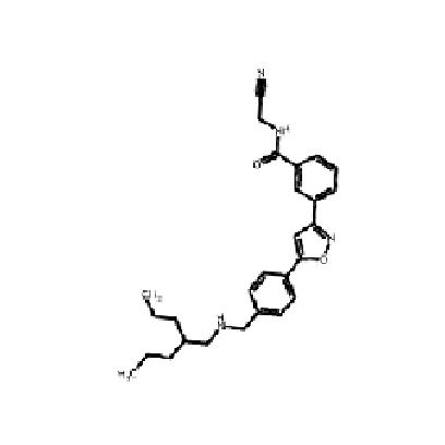 CCCC(CCC)CNCc1ccc(-c2cc(-c3cccc(C(=O)NCC#N)c3)no2)cc1